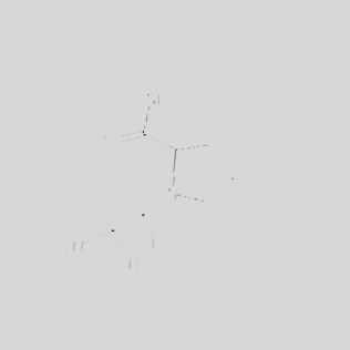 [2H]C([2H])([2H])C([2H])([2H])N1CCCC1C(N)=O